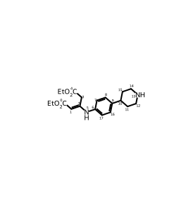 CCOC(=O)C=C(CC(=O)OCC)Nc1ccc(C2CCNCC2)cc1